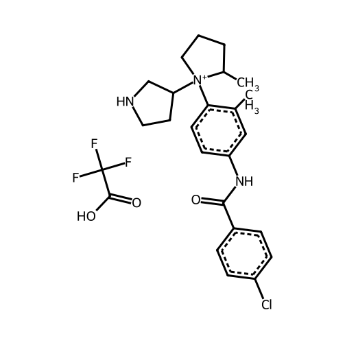 Cc1cc(NC(=O)c2ccc(Cl)cc2)ccc1[N+]1(C2CCNC2)CCCC1C.O=C(O)C(F)(F)F